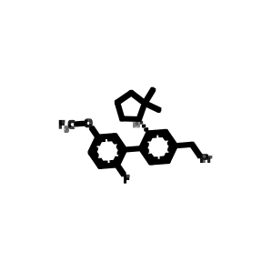 CC(C)Cc1ccc(-c2cc(OC(F)(F)F)ccc2F)c([C@@H]2CCCC2(C)C)c1